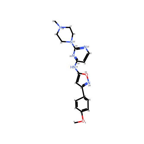 COc1ccc(-c2cc(Nc3ccnc(N4CCN(C)CC4)n3)on2)cc1